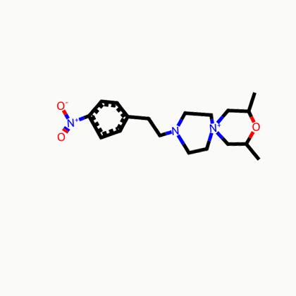 CC1C[N+]2(CCN(CCc3ccc([N+](=O)[O-])cc3)CC2)CC(C)O1